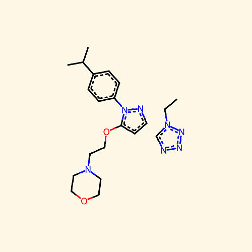 CC(C)c1ccc(-n2nccc2OCCN2CCOCC2)cc1.CCn1cnnn1